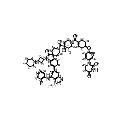 CC(C)n1cnc2cc(-c3ccc4c(c3)N(C3CC(N5CCCCC5)C3)C(=O)C43CCN(C(=O)C4(C)CCN(C(=O)C5CCC(Oc6ccc(N7CCC(=O)NC7=O)cn6)CC5)CC4)CC3)nc(Nc3ccncc3F)c21